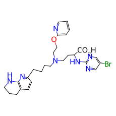 O=C(O)C(CCN(CCCCc1ccc2c(n1)NCCC2)CCOc1ccccn1)Nc1ncc(Br)cn1